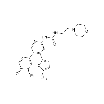 Cc1ccc(-c2nc(NC(=O)NCCN3CCOCC3)ncc2-c2ccc(=O)n(C(C)C)c2)o1